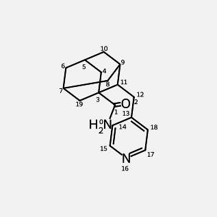 NC(=O)C12CC3CC(CC(C3)C1Cc1ccncc1)C2